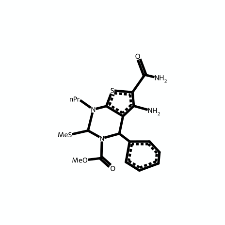 CCCN1c2sc(C(N)=O)c(N)c2C(c2ccccc2)N(C(=O)OC)C1SC